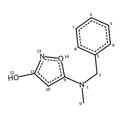 CN(Cc1ccccc1)c1cc(O)no1